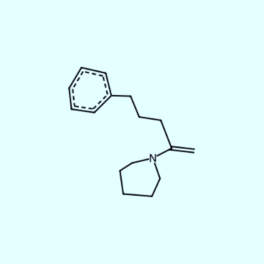 C=C(CCCc1ccccc1)N1CCCCC1